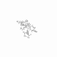 CC(=O)C(c1cc(Br)ccc1N)N1CCCC1.CC(C)(C)OC=O